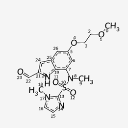 COCCOc1cc(N(C)S(=O)(=O)c2nccn2C)c2[nH]c(C=O)cc2c1